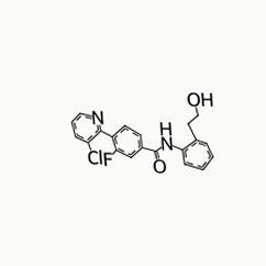 O=C(Nc1ccccc1CCO)c1ccc(-c2ncccc2Cl)c(F)c1